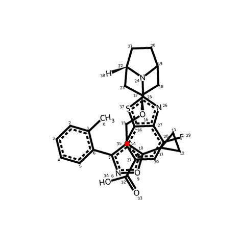 Cc1ccccc1-c1noc(C2CC2)c1CO[C@@H]1CC2CC[C@@H](C1)N2c1nc2c(F)cc(C(=O)O)cc2s1